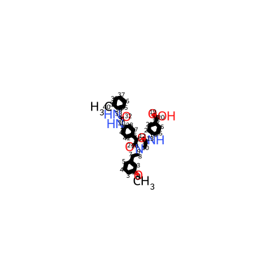 COc1cccc(CCN(CC(=O)Nc2ccc(C(=O)O)cc2)C(=O)Cc2ccc(NC(=O)Nc3ccccc3C)cc2)c1